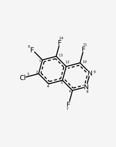 Fc1c(Cl)cc2c(F)nnc(F)c2c1F